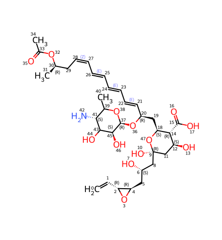 C=C[C@H]1O[C@@H]1C[C@H](O)C[C@]1(O)C[C@H](O)[C@@H](C(=O)O)[C@H](C[C@H](/C=C/C=C/C=C/C=C\C[C@@H](C)OC(C)=O)O[C@@H]2OC(C)[C@@H](N)C(O)[C@@H]2O)O1